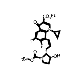 CCOC(=O)c1cn(C2CC2)c2c(/C=C\C[C@@H]3[C@@H](O)CCN3C(=O)OC(C)(C)C)c(F)c(F)cc2c1=O